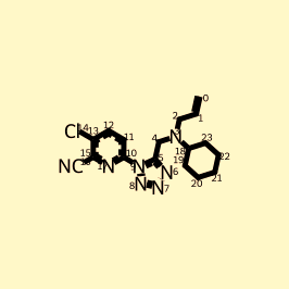 C=CCN(Cc1nnnn1-c1ccc(Cl)c(C#N)n1)C1CCCCC1